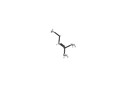 CC(C)CN=C(N)N